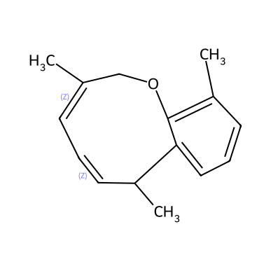 C/C1=C/C=C\C(C)c2cccc(C)c2OC1